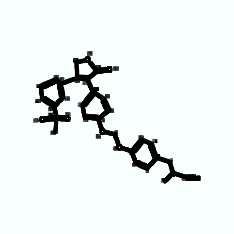 CNC(C)Cc1ccc(OCOc2ccc(C3=C(c4cccc(S(C)(=O)=O)c4)COC3=O)cc2)cc1